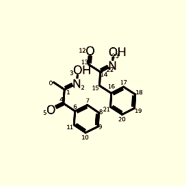 CC(=NO)C(=O)c1ccccc1.O=CC(Cc1ccccc1)=NO